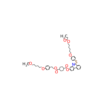 C=CC(=O)OCCCCCCOc1ccc(Sc2nc3cc(OC(=O)C4CCC(C(=O)OCCc5ccc(OCCCCCCOC)cc5)CC4)ccc3c3ccccc23)cc1